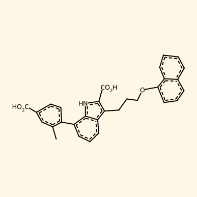 Cc1cc(C(=O)O)ccc1-c1cccc2c(CCCOc3cccc4ccccc34)c(C(=O)O)[nH]c12